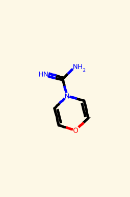 N=C(N)N1C=[C]OC=C1